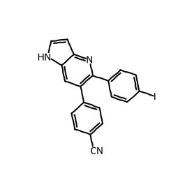 N#Cc1ccc(-c2cc3[nH]ccc3nc2-c2ccc(I)cc2)cc1